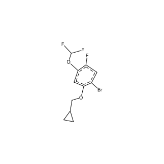 Fc1cc(Br)c(OCC2CC2)cc1OC(F)F